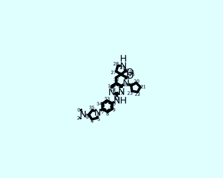 CN(C)[C@H]1CCN(c2ccc(Nc3ncc4c(n3)N(C3CCCC3)C(=O)C3(CCNC3=O)C4)cc2)C1